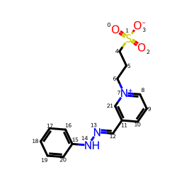 O=S(=O)([O-])CCC[n+]1cccc(/C=N/Nc2ccccc2)c1